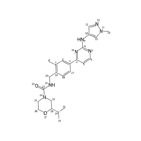 Cc1cc(-c2ccnc(Nc3cnn(C)c3)n2)ccc1CNC(=O)N1CCOC(C(C)C)C1